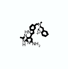 COC[C@@H](Cc1ccccc1)N(C)Cc1ccc2[nH]c(-c3cc(N)nc4[nH]c(C)nc34)cc2c1